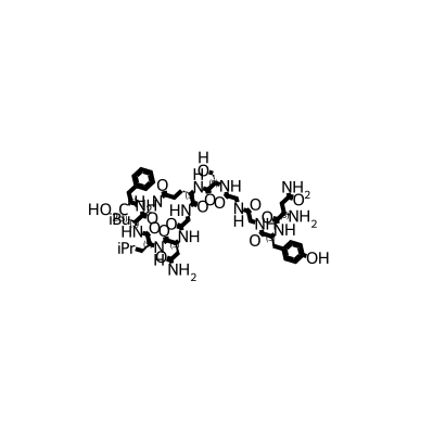 CC[C@H](C)[C@H](NC(=O)[C@H](CC(C)C)NC(=O)[C@H](CC(N)=O)NC(=O)CNC(=O)[C@H](CCC(N)=O)NC(=O)[C@H](CO)NC(=O)CNC(=O)CNC(=O)[C@H](Cc1ccc(O)cc1)NC(=O)[C@@H](N)CC(N)=O)C(=O)N[C@@H](Cc1ccccc1)C(=O)O